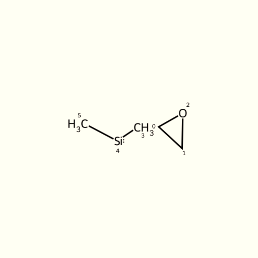 C1CO1.C[Si]C